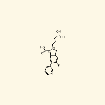 O=C(O)[C@@H]1c2cc(-c3cccnc3)c(F)cc2C[C@@H]1CCCB(O)O